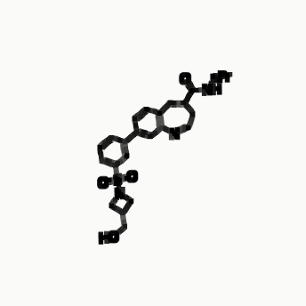 CCCNC(=O)C1=Cc2ccc(-c3cccc(S(=O)(=O)N4CC(CO)C4)c3)cc2N=CC1